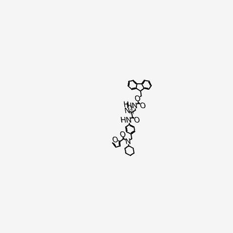 N[C@@H](CNC(=O)OCC1c2ccccc2-c2ccccc21)C(=O)Nc1ccc(CN(C(=O)c2ccco2)C2CCCCC2)cc1